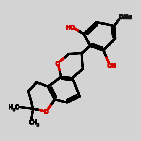 COc1cc(O)c(C2COc3c(ccc4c3CCC(C)(C)O4)C2)c(O)c1